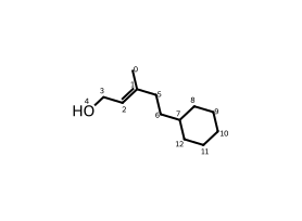 CC(=CCO)CCC1CCCCC1